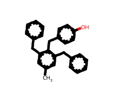 Cc1cc(Cc2ccccc2)c(Cc2ccc(O)cc2)c(Cc2ccccc2)c1